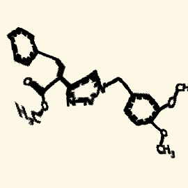 COC(=O)C(=Cc1ccccc1)c1cn(Cc2ccc(OC)c(OC)c2)nn1